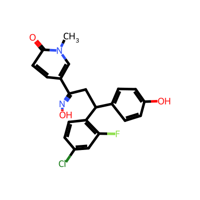 Cn1cc(/C(CC(c2ccc(O)cc2)c2ccc(Cl)cc2F)=N/O)ccc1=O